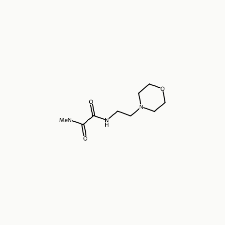 CNC(=O)C(=O)NCCN1CCOCC1